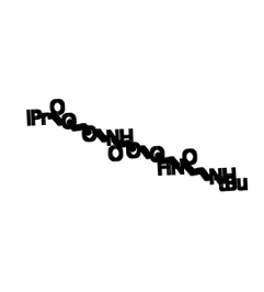 CC(C)C(=O)COCCOCCNC(=O)COCCOCCNC(=O)CCCNC(C)(C)C